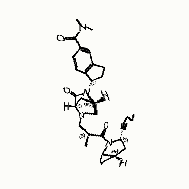 C[C@@H](CN1C[C@@H]2C[C@H]1C(=O)N2[C@H]1CCc2cc(C(=O)N(C)C)ccc21)C(=O)N1C2C[C@H]2C[C@H]1C#N